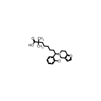 CC(C)(CCCCCC(c1ccccc1Cl)N1CCc2occc2C1)C(=O)O